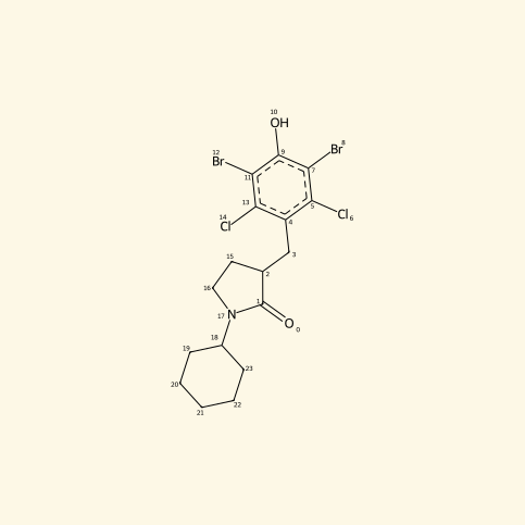 O=C1C(Cc2c(Cl)c(Br)c(O)c(Br)c2Cl)CCN1C1CCCCC1